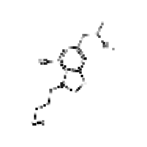 CC(=O)OCCCN1CCc2cc(CC(C)N)cc(C#N)c21